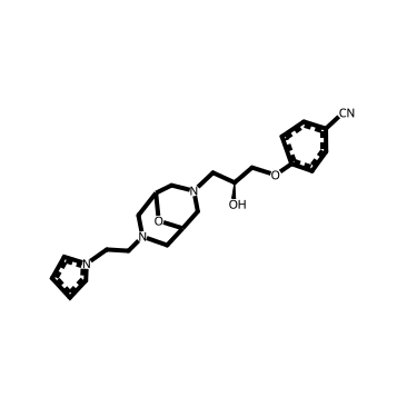 N#Cc1ccc(OC[C@@H](O)CN2CC3CN(CCn4cccc4)CC(C2)O3)cc1